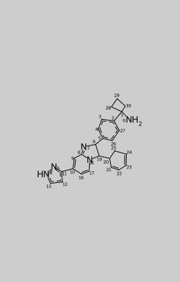 NC1(c2ccc(C3N=C4C=C(c5cc[nH]n5)C=CN4C3C3C=CC=CC3)cc2)CCC1